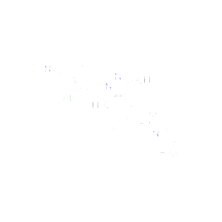 Cc1nn(-c2ccc(C#N)c(Cl)c2)c(C)c1Cc1ccccc1C(=O)N1CCOCC1